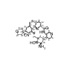 C[C@H]1C[C@@H](c2ccncc2NC(=O)c2ccc(F)c(-c3c(F)cc(C4(C#N)CCOCC4)cc3F)n2)C[C@@H](N)[C@@H]1O